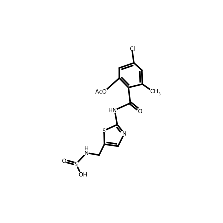 CC(=O)Oc1cc(Cl)cc(C)c1C(=O)Nc1ncc(CNS(=O)O)s1